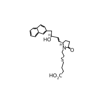 O=C(O)CCCSCCN1C(=O)CC[C@@H]1C=C[C@@H](O)Cc1ccc2ccccc2c1